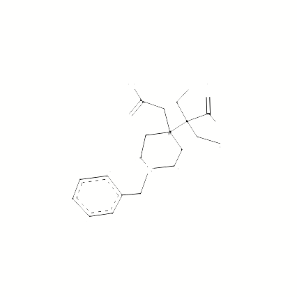 CCC(CC)(C(=O)O)C1(CC(=O)O)CCN(Cc2ccccc2)CC1